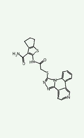 NC(=O)c1c(NC(=O)CSc2nnc3c4ccncc4c4ccccc4n23)sc2c1CCC2